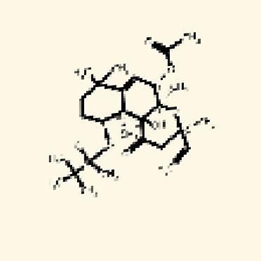 C=C[C@@]1(C)CC(=O)[C@@]2(O)[C@](C)(O1)[C@@H](OC(C)=O)C=C1C(C)(C)CC[C@H](O[Si](C)(C)C(C)(C)C)[C@@]12C